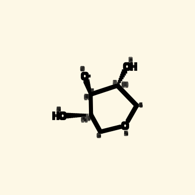 [O][C@H]1[C@H](O)COC[C@@H]1O